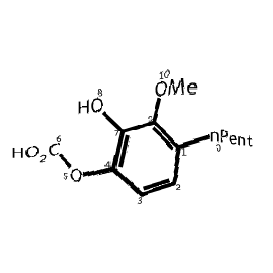 CCCCCc1ccc(OC(=O)O)c(O)c1OC